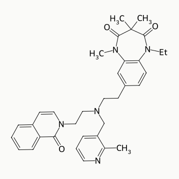 CCN1C(=O)C(C)(C)C(=O)N(C)c2cc(CCN(CCn3ccc4ccccc4c3=O)Cc3cccnc3C)ccc21